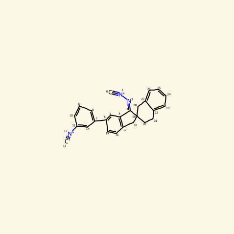 [C-]#[N+]/N=C1\c2cc(-c3cccc([N+]#[C-])c3)ccc2CC12CCc1ccccc1C2